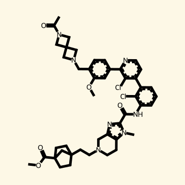 COC(=O)C12CCC(CCN3CCc4c(nc(C(=O)Nc5cccc(-c6ccnc(-c7ccc(CN8CC9(C8)CN(C(C)=O)C9)c(OC)c7)c6Cl)c5Cl)n4C)C3)(CC1)C2